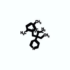 C=C(C)C(CC)(Cc1cc(C)ccc1C)c1ccncc1